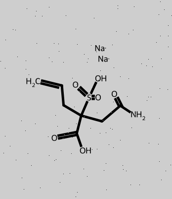 C=CCC(CC(N)=O)(C(=O)O)S(=O)(=O)O.[Na].[Na]